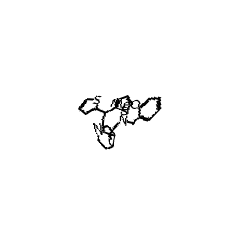 COc1ccccc1CNC1CC2CCN(CC2)C1C(c1cccs1)c1cccs1